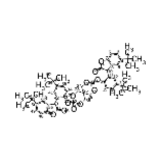 CC(C)(C)c1ccc2c(c1)C(c1cc(C(C)(C)C)ccc1OP1OCC3(CO1)COP(=O)(Oc1ccc(C(C)(C)C)cc1C1C(=O)Oc4ccc(C(C)(C)C)cc41)OC3)C(=O)O2